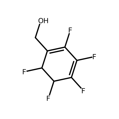 OCC1=C(F)C(F)=C(F)C(F)C1F